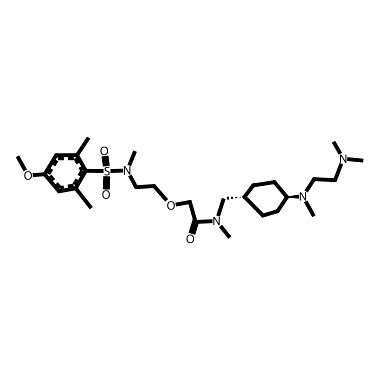 COc1cc(C)c(S(=O)(=O)N(C)CCOCC(=O)N(C)C[C@H]2CC[C@H](N(C)CCN(C)C)CC2)c(C)c1